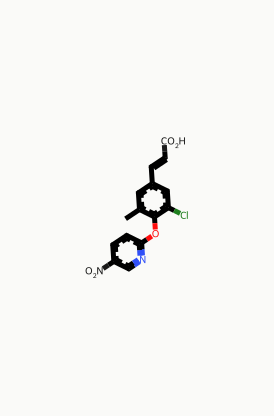 Cc1cc(C=CC(=O)O)cc(Cl)c1Oc1ccc([N+](=O)[O-])cn1